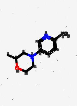 CC1CN(c2ccc([N+](=O)[O-])nc2)CCO1